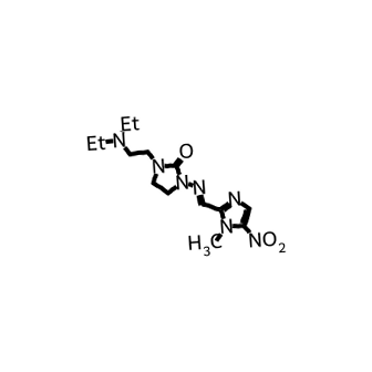 CCN(CC)CCN1CCN(N=Cc2ncc([N+](=O)[O-])n2C)C1=O